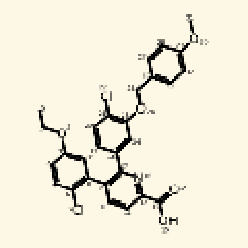 CCOc1ccc(Cl)c(-c2ccc(C(=O)O)nc2-c2ccc(Cl)c(OCc3ccc(OC)cc3)c2)c1